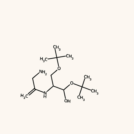 C=C(CN)NC(COC(C)(C)C)C(O)OC(C)(C)C